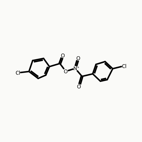 O=C(O[N+](=O)C(=O)c1ccc(Cl)cc1)c1ccc(Cl)cc1